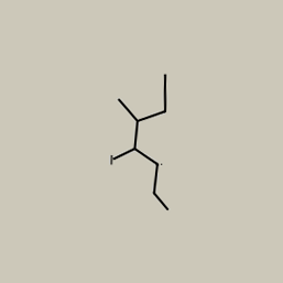 CC[CH]C(I)C(C)CC